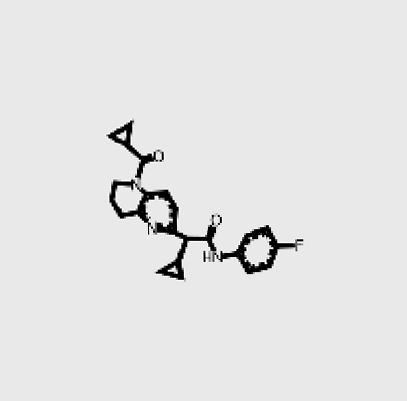 O=C(Nc1ccc(F)cc1)C(c1ccc2c(n1)CCCN2C(=O)C1CC1)C1CC1